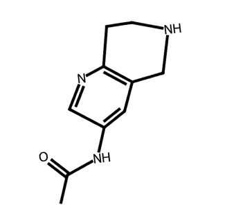 CC(=O)Nc1cnc2c(c1)CNCC2